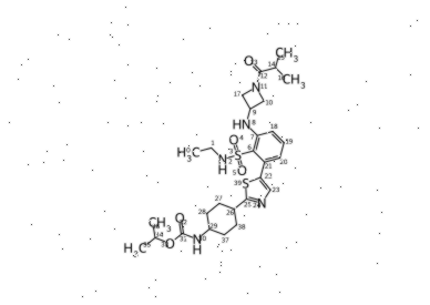 CCNS(=O)(=O)c1c(NC2CN(C(=O)C(C)C)C2)cccc1-c1cnc(C2CCC(NC(=O)OC(C)C)CC2)s1